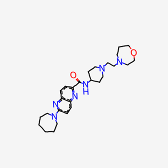 O=C(NC1CCN(CCN2CCCOCC2)CC1)c1ccc2nc(N3CCCCCC3)ccc2n1